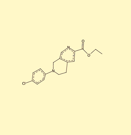 CCOC(=O)c1cc2c(cn1)CN(c1ccc(Cl)cc1)CC2